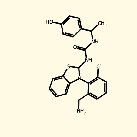 CC(NC(=O)NC1Sc2ccccc2N1c1c(Cl)cccc1CN)c1ccc(O)cc1